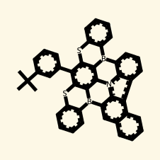 CC(C)(C)c1cccc(-c2c3c4c5c6c2Sc2ccccc2B6c2cc6ccccc6c6c7cccc(c7n-5c26)B4c2ccccc2S3)c1